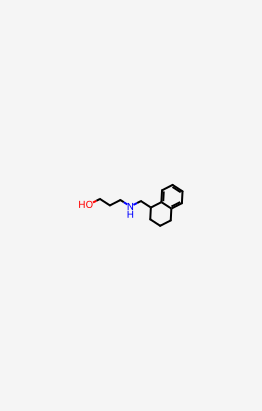 OCCCNCC1CCCc2ccccc21